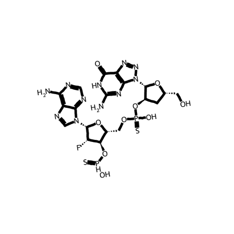 Nc1nc2c(nnn2[C@@H]2O[C@H](CO)C[C@H]2OP(O)(=S)OC[C@H]2O[C@@H](n3cnc4c(N)ncnc43)[C@@H](F)[C@@H]2O[PH](O)=S)c(=O)[nH]1